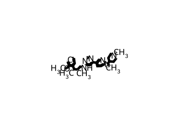 COc1ccccc1[C@H](C)C(C)CNc1cc(-c2ccc(N(C)C3CCN(C)CC3)nc2)ncn1